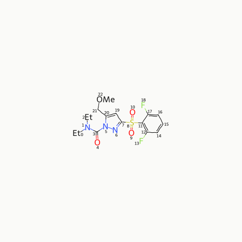 CCN(CC)C(=O)n1nc(S(=O)(=O)c2c(F)cccc2F)cc1COC